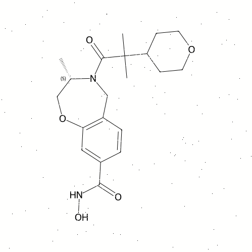 C[C@H]1COc2cc(C(=O)NO)ccc2CN1C(=O)C(C)(C)C1CCOCC1